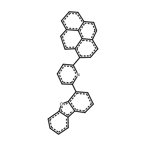 c1cc(-c2ccc3ccc4cccc5ccc2c3c45)nc(-c2cccc3c2oc2ccccc23)c1